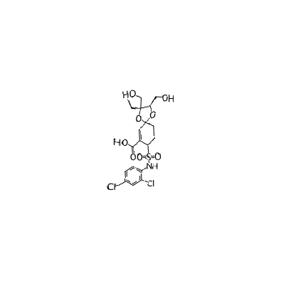 CC[C@]1(CO)OC2(C=C(C(=O)O)C(S(=O)(=O)Nc3ccc(Cl)cc3Cl)CC2)O[C@@H]1CO